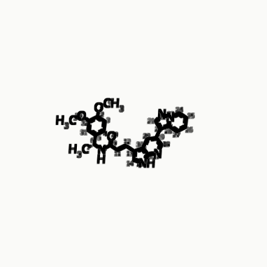 COc1ccc([C@@H](C)NC(=O)/C=C/c2c[nH]c3ncc(-c4cnn5ccccc45)cc23)cc1OC